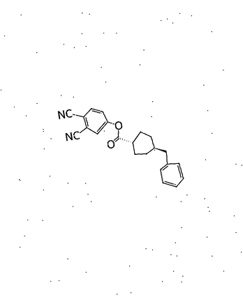 N#Cc1ccc(OC(=O)[C@H]2CC[C@H](Cc3ccccc3)CC2)cc1C#N